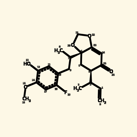 C=CC(C)[C@H]1C[C@]2(C(C)Cc3cc(O)c(OC)cc3F)OCOC2=CC1=O